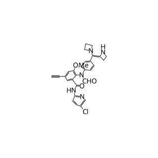 C#Cc1cc(OC)c(N(C=O)c2ccc(C(=C3CCN3)N3CCC3)cc2)c(C(=O)Nc2ccc(Cl)cn2)c1